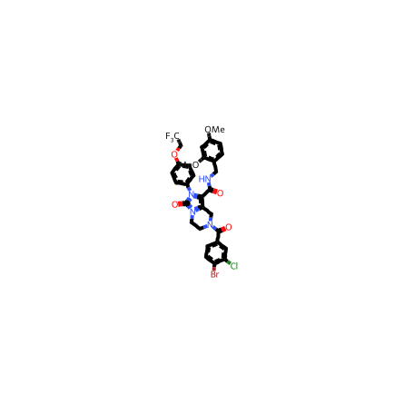 COc1ccc(CNC(=O)c2c3n(c(=O)n2-c2ccc(OCC(F)(F)F)cc2)CCN(C(=O)c2ccc(Br)c(Cl)c2)C3)c(OC)c1